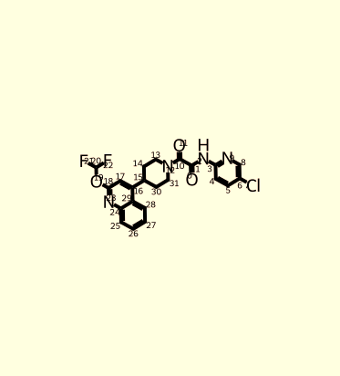 O=C(Nc1ccc(Cl)cn1)C(=O)N1CCC(c2cc(OC(F)F)nc3ccccc23)CC1